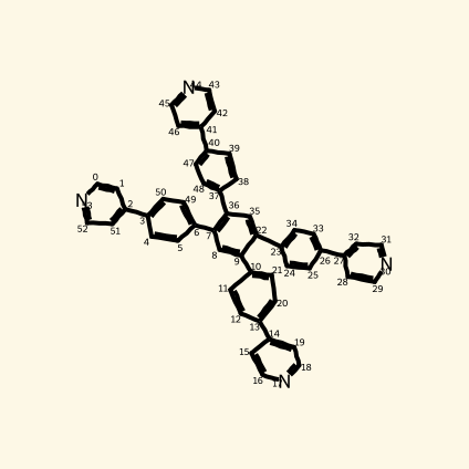 c1cc(-c2ccc(-c3cc(-c4ccc(-c5ccncc5)cc4)c(-c4ccc(-c5ccncc5)cc4)cc3-c3ccc(-c4ccncc4)cc3)cc2)ccn1